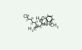 Cc1cccc(C)c1NC(=O)CN(C)CCCCCl